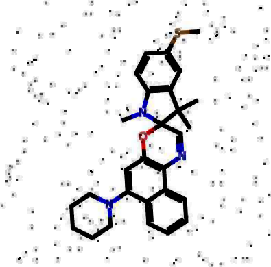 CSc1ccc2c(c1)C(C)(C)C1(C=Nc3c(cc(N4CCCCC4)c4ccccc34)O1)N2C